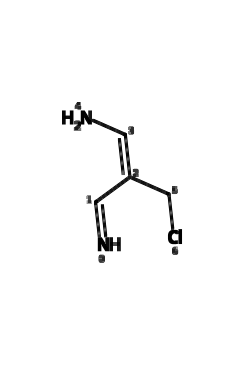 N=C/C(=C\N)CCl